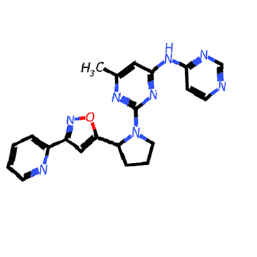 Cc1cc(Nc2ccncn2)nc(N2CCCC2c2cc(-c3ccccn3)no2)n1